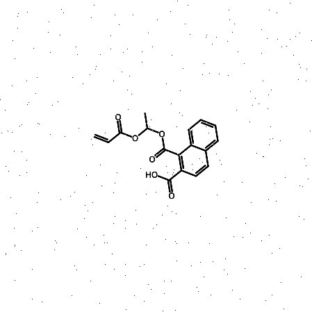 C=CC(=O)OC(C)OC(=O)c1c(C(=O)O)ccc2ccccc12